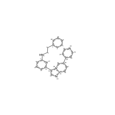 c1ccc(CCNc2cncc(-c3cnc4ccc(-c5ccncc5)cn34)n2)cc1